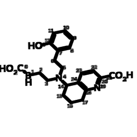 O=C(O)BCCN(CCc1ccccc1O)C1CCCc2nc(C(=O)O)ccc21